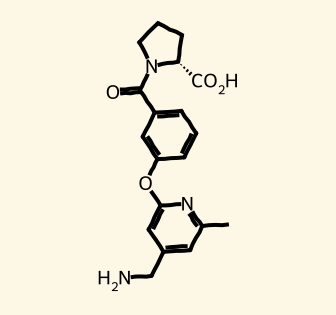 Cc1cc(CN)cc(Oc2cccc(C(=O)N3CCC[C@@H]3C(=O)O)c2)n1